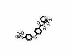 C[C@H]1[C@H](NC(=O)c2ccc(Sc3ccc(NS(C)(=O)=O)cc3)cc2)C2CCN1CC2